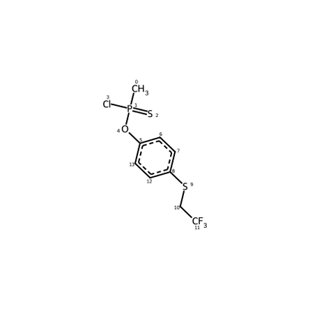 CP(=S)(Cl)Oc1ccc(SCC(F)(F)F)cc1